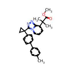 COC(=O)C(C)(C)c1cccn2c(C3(c4ccc(-c5ccc(C)cc5)cc4)CC3)nnc12